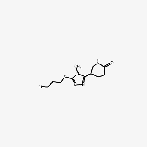 Cn1c(SCCCCl)nnc1C1CCC(=O)NC1